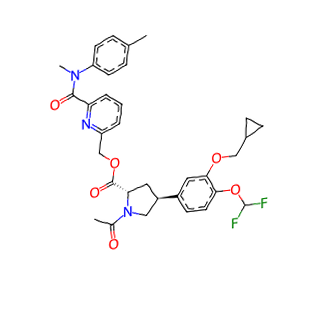 CC(=O)N1C[C@H](c2ccc(OC(F)F)c(OCC3CC3)c2)C[C@H]1C(=O)OCc1cccc(C(=O)N(C)c2ccc(C)cc2)n1